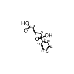 O=C(O)C=CCP(=O)(O)c1ccccc1